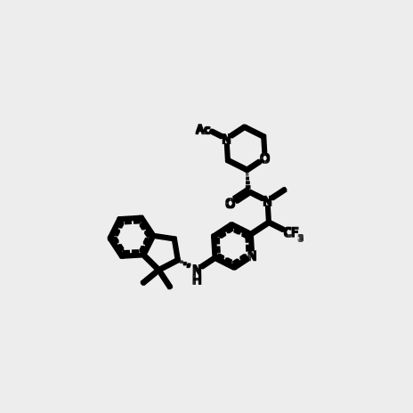 CC(=O)N1CCO[C@H](C(=O)N(C)C(c2ccc(N[C@H]3Cc4ccccc4C3(C)C)cn2)C(F)(F)F)C1